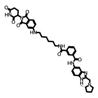 C[C@H]1CCCN1Cc1nc2cc(NC(=O)c3cccc(C(=O)NCCCCCCNc4ccc5c(c4)C(=O)N(C4CCC(=O)NC4=O)C5=O)c3)ccc2[nH]1